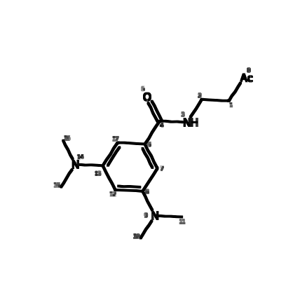 CC(=O)CCNC(=O)c1cc(N(C)C)cc(N(C)C)c1